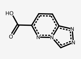 O=C(O)c1ccc2nncn2n1